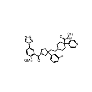 COc1ccc(-n2cnnn2)cc1C(=O)N1CCC(CCN2CCC(C(=O)NO)(c3ccncc3)CC2)(c2cccc(F)c2)C1